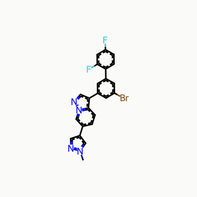 Cn1cc(-c2ccc3c(-c4cc(Br)cc(-c5ccc(F)cc5F)c4)cnn3c2)cn1